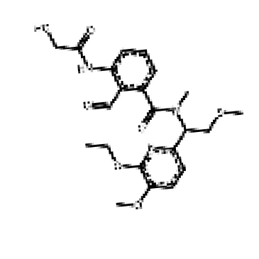 CCOc1nc(C(CSC)N(C)C(=O)c2cccc(NC(=O)CO)c2C=O)ccc1OC